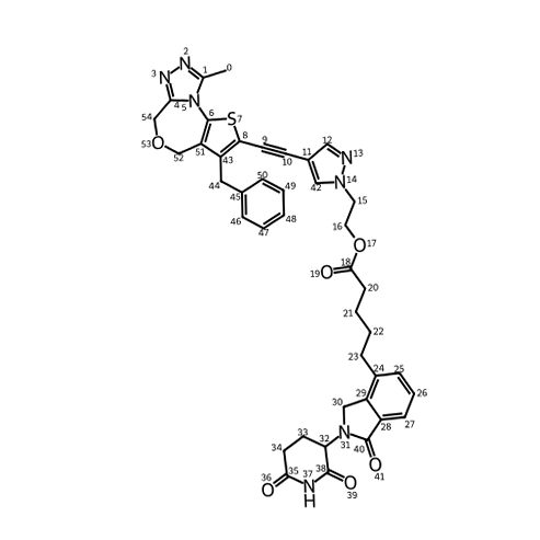 Cc1nnc2n1-c1sc(C#Cc3cnn(CCOC(=O)CCCCc4cccc5c4CN(C4CCC(=O)NC4=O)C5=O)c3)c(Cc3ccccc3)c1COC2